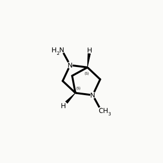 CN1C[C@@H]2C[C@H]1CN2N